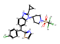 O=S(=O)(N1CCC(n2c(C3CC3)nc3ccc(C(c4ccc(Cl)cc4)c4nccs4)cc32)CC1)C(F)(F)F